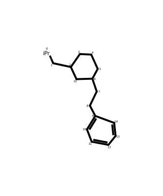 CC(C)CC1CCCC(CCc2ccccc2)C1